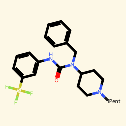 CCCC(C)N1CCC(N(Cc2ccccc2)C(=O)Nc2cccc(S(F)(F)F)c2)CC1